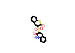 O=c1[nH]c2ccccc2cc1S(=O)(=O)c1cc2ccccc2sc1=O